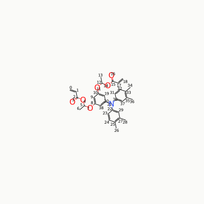 C=CC(=O)OC(C)Oc1cc(OC(C)OC(=O)C=C)cc(N(c2ccc(C)c(C)c2)c2ccc(C)c(C)c2)c1